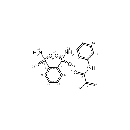 C=C(C)C(=O)Nc1ccccc1.NS(=O)(=O)c1ccccc1S(N)(=O)=O